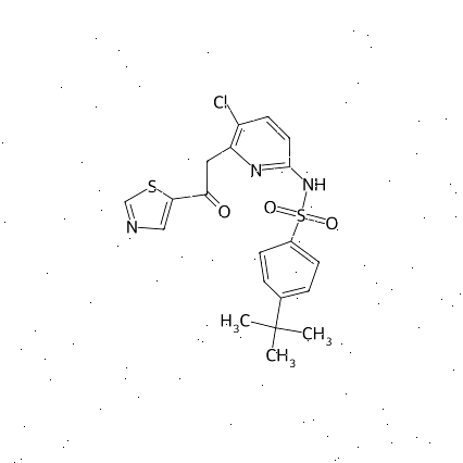 CC(C)(C)c1ccc(S(=O)(=O)Nc2ccc(Cl)c(CC(=O)c3cncs3)n2)cc1